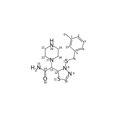 Cc1cccc(CSN2N=CSC2C(C(N)=O)N2CCNCC2)c1